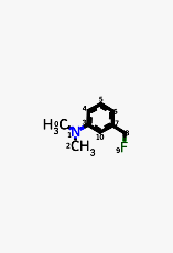 CN(C)c1cccc(CF)c1